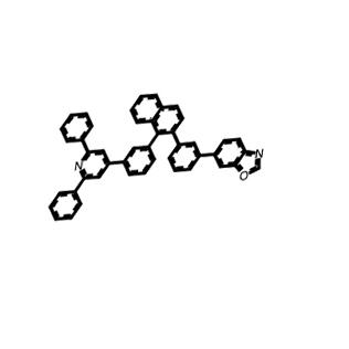 c1ccc(-c2cc(-c3cccc(-c4c(-c5cccc(-c6ccc7ncoc7c6)c5)ccc5ccccc45)c3)cc(-c3ccccc3)n2)cc1